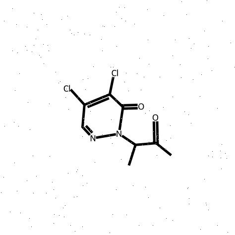 CC(=O)C(C)n1ncc(Cl)c(Cl)c1=O